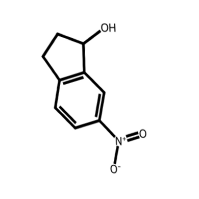 O=[N+]([O-])c1ccc2c(c1)C(O)CC2